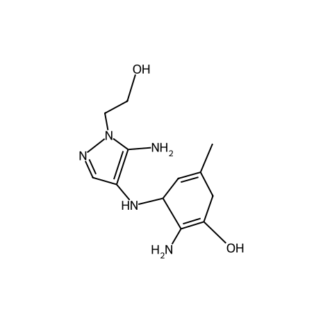 CC1=CC(Nc2cnn(CCO)c2N)C(N)=C(O)C1